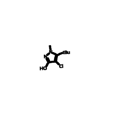 Cn1nc(O)c(Cl)c1C(C)(C)C